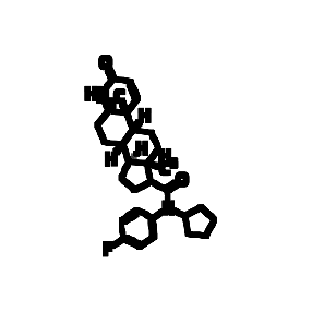 C[C@]12C=CC(=O)NC1CC[C@@H]1[C@H]2CC[C@]2(C)C(C(=O)N(c3ccc(F)cc3)C3CCCC3)CC[C@@H]12